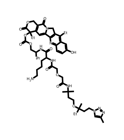 CCc1c2c(nc3ccc(O)cc13)-c1cc3c(c(=O)n1C2)COC(=O)C3(CC)OC(=O)OCC(NC(=O)C(CCCCN)NC(=O)COCC(=O)NC(C)(C)CCOC(C)(CC)CCn1cc(C)nn1)C(C)C